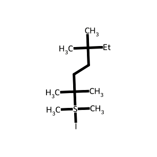 CCC(C)(C)CCC(C)(C)S(C)(C)I